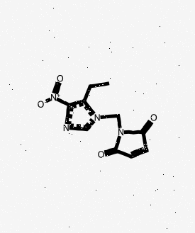 CCc1c([N+](=O)[O-])ncn1CN1C(=O)C=CC1=O